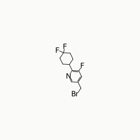 Fc1cc(CBr)cnc1C1CCC(F)(F)CC1